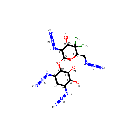 [N-]=[N+]=NC[C@H]1O[C@H](O[C@@H]2C(N=[N+]=[N-])CC(N=[N+]=[N-])[C@H](O)[C@H]2O)C(N=[N+]=[N-])[C@@H](O)C1(F)F